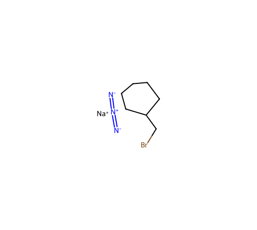 BrCC1CCCCC1.[N-]=[N+]=[N-].[Na+]